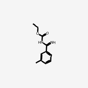 CCOC(=O)NC(=N)c1cc[c]c(C)c1